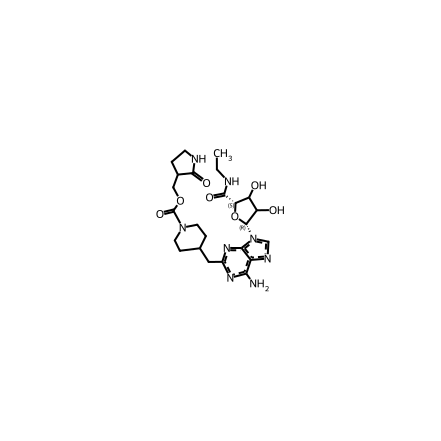 CCNC(=O)[C@H]1O[C@@H](n2cnc3c(N)nc(CC4CCN(C(=O)OCC5CCNC5=O)CC4)nc32)C(O)C1O